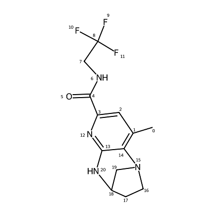 Cc1cc(C(=O)NCC(F)(F)F)nc2c1N1CCC(C1)N2